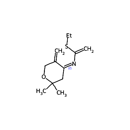 C=C(/N=C1/CC(C)(C)OCC1=C)SCC